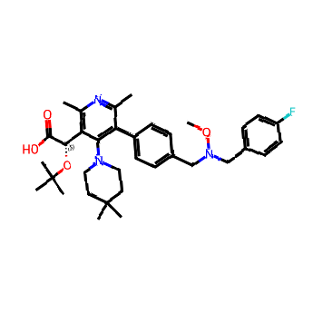 CON(Cc1ccc(F)cc1)Cc1ccc(-c2c(C)nc(C)c([C@H](OC(C)(C)C)C(=O)O)c2N2CCC(C)(C)CC2)cc1